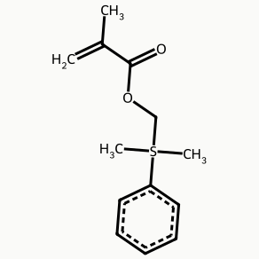 C=C(C)C(=O)OCS(C)(C)c1ccccc1